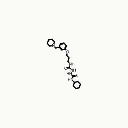 O=C(NCCCOc1cccc(CN2CCCCC2)c1)NNC(=S)NC1CCCCC1